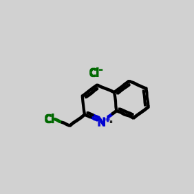 ClCC1=[N+]c2ccccc2C=C1.[Cl-]